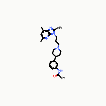 CCCCc1nc2c(C)cc(C)nc2n1CCCN1CCC(c2cccc(NC(=O)C(C)C)c2)CC1